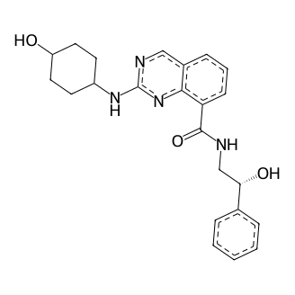 O=C(NC[C@H](O)c1ccccc1)c1cccc2cnc(NC3CCC(O)CC3)nc12